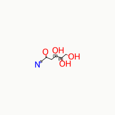 N#CC(=O)C[C@H](O)[C@H](O)CO